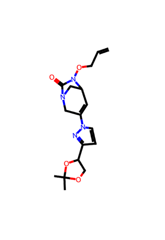 C=CCON1C(=O)N2CC(n3ccc(C4COC(C)(C)O4)n3)=CC1C2